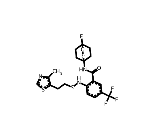 Cc1ncsc1CCSNc1ccc(C(F)(F)F)cc1C(=O)NC12CCC(F)(CC1)CC2